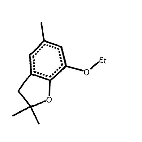 CCOc1cc(C)cc2c1OC(C)(C)C2